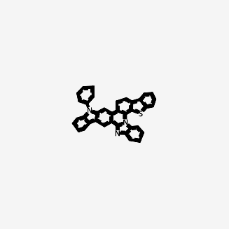 c1ccc(-n2c3ccccc3c3cc4c(cc32)c2ccc3c5ccccc5sc3c2n2c3ccccc3nc42)cc1